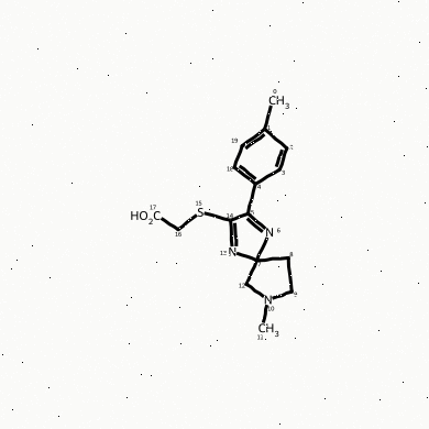 Cc1ccc(C2=NC3(CCN(C)C3)N=C2SCC(=O)O)cc1